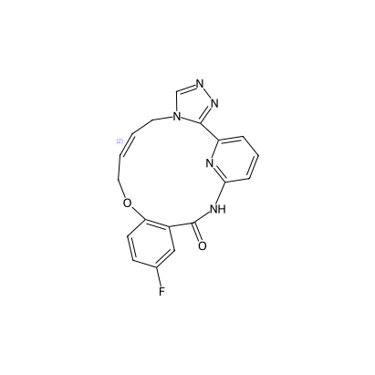 O=C1Nc2cccc(n2)-c2nncn2C/C=C\COc2ccc(F)cc21